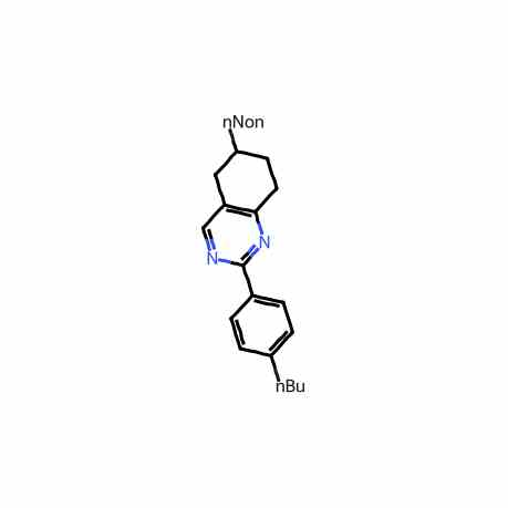 CCCCCCCCCC1CCc2nc(-c3ccc(CCCC)cc3)ncc2C1